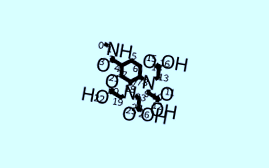 CNC(=O)C1CCC(N(CC(=O)O)CC(=O)O)C(N(CC(=O)O)CC(=O)O)C1